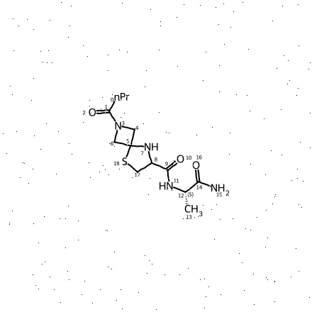 CCCC(=O)N1CC2(C1)NC(C(=O)N[C@@H](C)C(N)=O)CS2